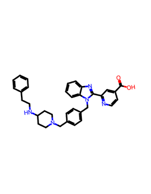 O=C(O)c1ccnc(-c2nc3ccccc3n2Cc2ccc(CN3CCC(NCCc4ccccc4)CC3)cc2)c1